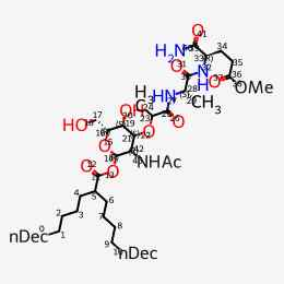 CCCCCCCCCCCCCCC(CCCCCCCCCCCCCC)C(=O)O[C@H]1O[C@H](CO)[C@@H](O)[C@@H](OC(C)C(=O)N[C@@H](C)C(=O)N[C@H](CCC(=O)OC)C(N)=O)[C@H]1NC(C)=O